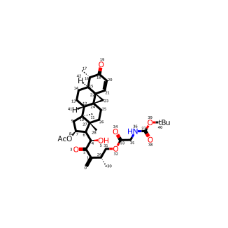 C=C(C(=O)[C@H](O)C1[C@@H](OC(C)=O)C[C@@]2(C)[C@@H]3CC[C@H]4[C@H](C)C(=O)C=C[C@@]45C[C@@]35CC[C@]12C)[C@@H](C)COC(=O)CNC(=O)OC(C)(C)C